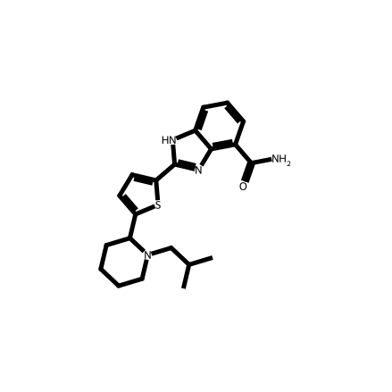 CC(C)CN1CCCCC1c1ccc(-c2nc3c(C(N)=O)cccc3[nH]2)s1